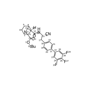 CC(C)(C)OC(=O)N1C2CCC(CC2)[C@H]1C(=O)N[C@H](C#N)Cc1ccc(-c2cc(F)c(F)c(F)c2)cc1